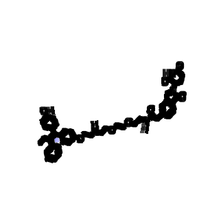 CC/C(=C(\c1ccc(O)cc1)c1ccc(OCCNCCOCCOCCNC(=O)Cc2ccc3c(c2)CN(C2CCC(=O)NC2=O)C3=O)cc1)c1ccccc1